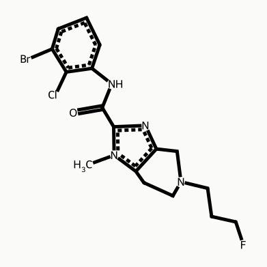 Cn1c(C(=O)Nc2cccc(Br)c2Cl)nc2c1CCN(CCCF)C2